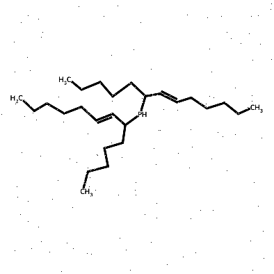 CCCCCC=CC(CCCCC)PC(C=CCCCCC)CCCCC